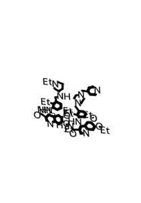 CCOc1cc2ncc(C(N)=O)c(Nc3cccc(CN4CCN(Cc5ccncc5)CC4)c3CC)c2cc1OCC.CCOc1cc2ncc(C(N)=O)c(Nc3cccc(CNC4CCCN(CC)C4)c3CC)c2cc1OCC